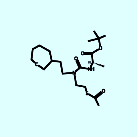 CC(=O)SCCN(CCC1CCCCCC1)C(=O)N[C@@H](C)C(=O)OC(C)(C)C